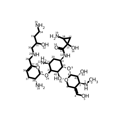 CN[C@H]1/C(=C\O)CO[C@H](O[C@H]2[C@H](NC(=O)C3(O)CC3N)C[C@H](N)C(O[C@H]3OC(CNCC(O)CCN)=CC[C@H]3N)[C@@H]2O)[C@@H]1O